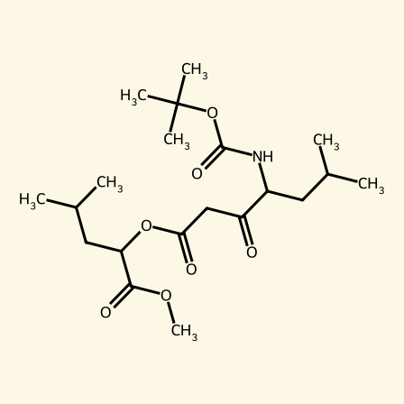 COC(=O)C(CC(C)C)OC(=O)CC(=O)C(CC(C)C)NC(=O)OC(C)(C)C